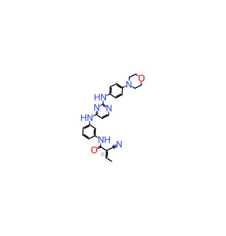 C/C=C(\C#N)C(=O)Nc1cccc(Nc2ccnc(Nc3ccc(N4CCOCC4)cc3)n2)c1